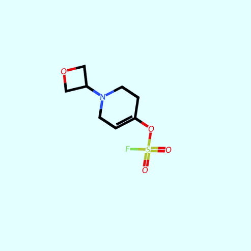 O=S(=O)(F)OC1=CCN(C2COC2)CC1